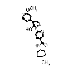 COc1cc(-c2cnn(-c3ccc(C(=O)N[C@H]4CC[C@@H](C)CC4)cn3)c2O)ccn1